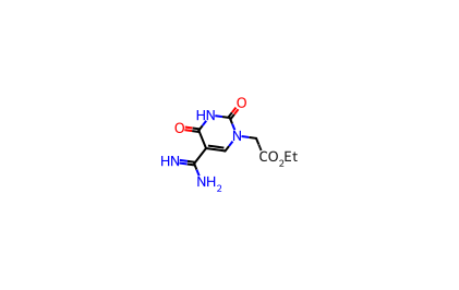 CCOC(=O)Cn1cc(C(=N)N)c(=O)[nH]c1=O